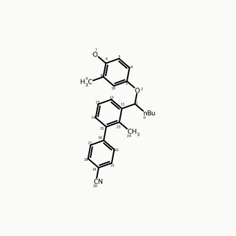 CCCCC(Oc1ccc([O])c(C)c1)c1cccc(-c2ccc(C#N)cc2)c1C